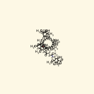 CC[C@H]1OC(=O)[C@H](C)[C@@H](O[C@H]2C[C@@](C)(OC)[C@@H](O)[C@H](C)O2)[C@H](C)[C@@H](O[C@@H]2O[C@H](C)C[C@@H](N(C)CCOC(=O)CC/C(C)=C/Cc3c(O)c4c(c(C)c3OC)COC4=O)[C@@H]2N(C)C)[C@](C)(O)C[C@@H](C)CN(C)[C@H](C)[C@@H](O)[C@]1(C)O